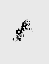 CCC(C)N1Cc2cc(-c3cccc(NS(C)(=O)=O)c3)nc(C)c2C1=O